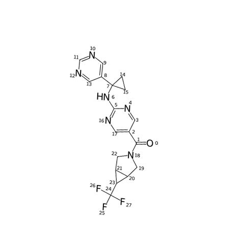 O=C(c1cnc(NC2(c3cncnc3)CC2)nc1)N1CC2C(C1)C2C(F)(F)F